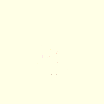 Cc1ccc(S(=O)(=O)Nc2cc(C)ccc2C(=O)Cl)cc1